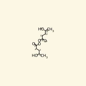 CC(O)CCC(=O)OOC(=O)CCC(C)O